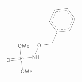 COP(=O)(NOCc1ccccc1)OC